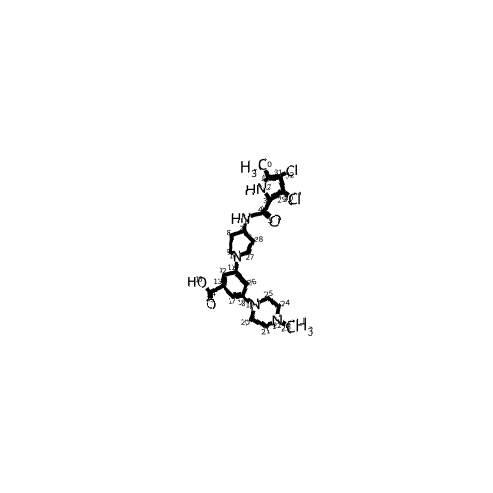 Cc1[nH]c(C(=O)NC2CCN(c3cc(C(=O)O)cc(N4CCN(C)CC4)c3)CC2)c(Cl)c1Cl